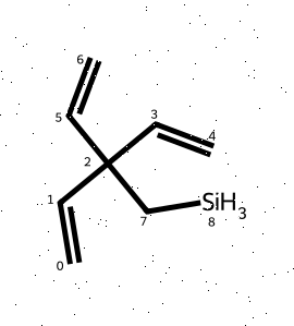 C=CC(C=C)(C=C)C[SiH3]